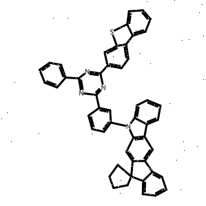 c1ccc(-c2nc(-c3cccc(-n4c5ccccc5c5cc6c(cc54)C4(CCCC4)c4ccccc4-6)c3)nc(-c3ccc4c(c3)sc3ccccc34)n2)cc1